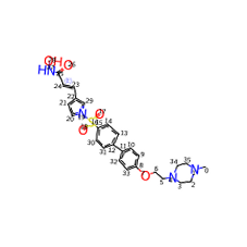 CN1CCN(CCOc2ccc(-c3ccc(S(=O)(=O)n4ccc(/C=C/C(=O)NO)c4)cc3)cc2)CC1